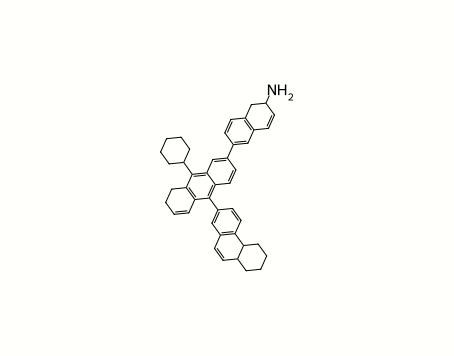 NC1C=Cc2cc(-c3ccc4c(-c5ccc6c(c5)C=CC5CCCCC65)c5c(c(C6CCCCC6)c4c3)CCC=C5)ccc2C1